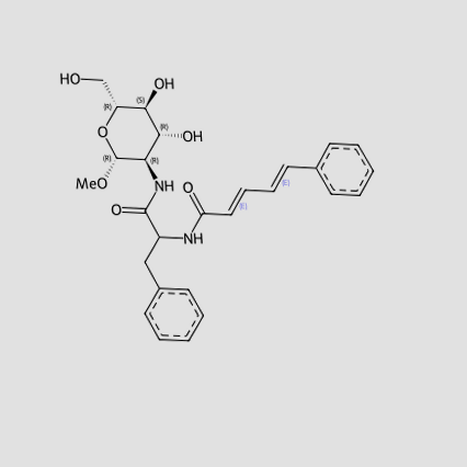 CO[C@@H]1O[C@H](CO)[C@@H](O)[C@H](O)[C@H]1NC(=O)C(Cc1ccccc1)NC(=O)/C=C/C=C/c1ccccc1